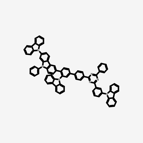 c1ccc(-c2nc(-c3ccc(-c4ccc(-c5ccc6c(c5)c5ccc(-n7c8ccccc8c8ccccc87)cc5n6-c5ccccc5)c(-n5c6ccccc6c6ccccc65)c4)cc3)nc(-c3cccc(-n4c5ccccc5c5ccccc54)c3)n2)cc1